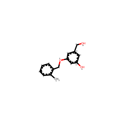 Cc1ccccc1COc1cc(O)cc(CO)c1